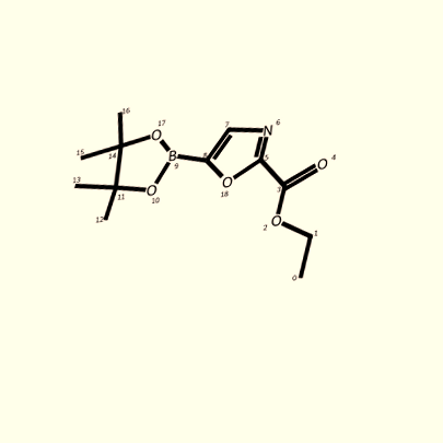 CCOC(=O)c1ncc(B2OC(C)(C)C(C)(C)O2)o1